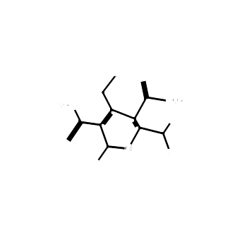 CSC(=O)C1=C(C(F)F)NC(C(F)(F)F)C(C(=O)SC)=C1CC(C)C